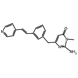 Cn1c(N)nc(Cc2cccc(C=Cc3ccncc3)c2)cc1=O